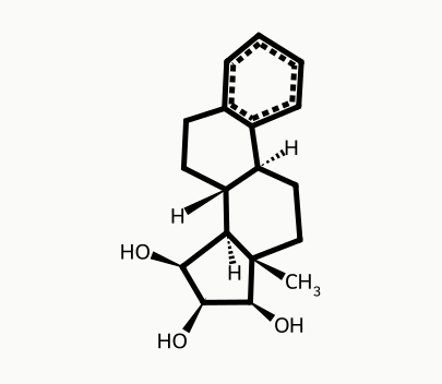 C[C@]12CC[C@@H]3c4ccccc4CC[C@H]3[C@@H]1[C@H](O)[C@H](O)[C@@H]2O